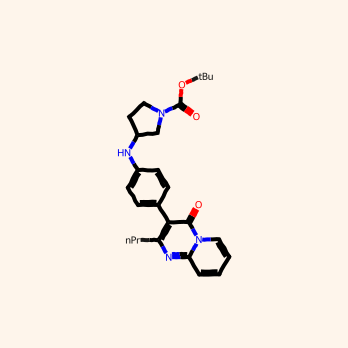 CCCc1nc2ccccn2c(=O)c1-c1ccc(NC2CCN(C(=O)OC(C)(C)C)C2)cc1